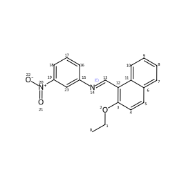 CCOc1ccc2ccccc2c1/C=N/c1cccc([N+](=O)[O-])c1